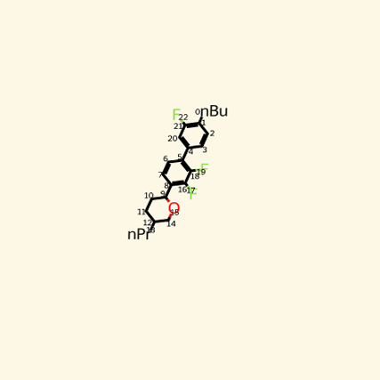 CCCCc1ccc(-c2ccc(C3CCC(CCC)CO3)c(F)c2F)cc1F